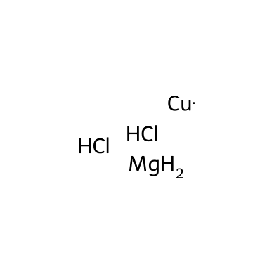 Cl.Cl.[Cu].[MgH2]